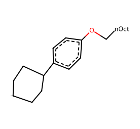 CCCCCCCCCOc1ccc(C2CC[CH]CC2)cc1